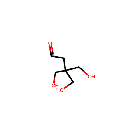 O=CCC(CO)(CO)CO